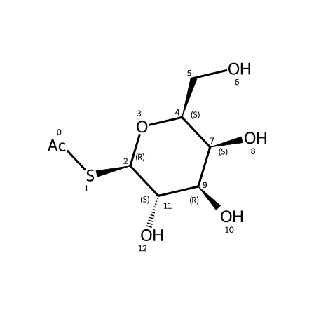 CC(=O)S[C@H]1O[C@@H](CO)[C@@H](O)[C@@H](O)[C@@H]1O